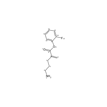 C=C(CCCN)C(=O)Oc1ccccc1F